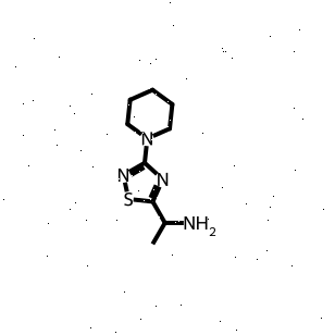 CC(N)c1nc(N2CCCCC2)ns1